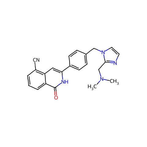 CN(C)Cc1nccn1Cc1ccc(-c2cc3c(C#N)cccc3c(=O)[nH]2)cc1